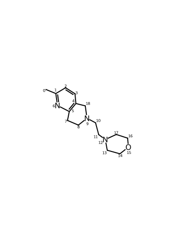 Cc1ccc2c(n1)CCN(CCN1CCOCC1)C2